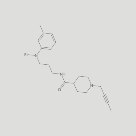 CC#CCN1CCC(C(=O)NCCCN(CC)c2cccc(C)c2)CC1